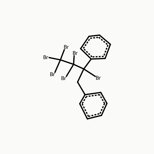 BrC(Br)(Br)C(Br)(Br)C(Br)(Cc1ccccc1)c1ccccc1